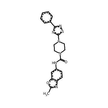 Cc1nc2ccc(NC(=O)N3CCN(c4nc(-c5ccccc5)ns4)CC3)cc2o1